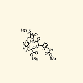 C[C@@H](ON=C(C(=O)N[C@@H]1C(=O)N(S(=O)(=O)O)[C@@H]1Cn1cncn1)c1csc(NC(=O)OC(C)(C)C)n1)C(=O)OC(C)(C)C